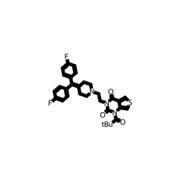 CC(C)(C)C(=O)n1c(=O)n(CCN2CCC(=C(c3ccc(F)cc3)c3ccc(F)cc3)CC2)c(=O)c2cscc21